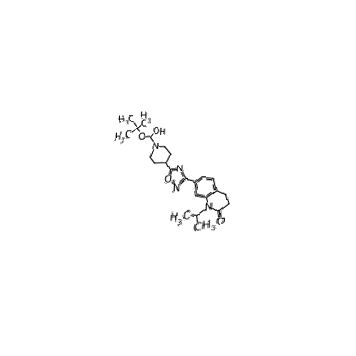 CC(C)N1C(=O)CCc2ccc(-c3noc(C4CCN(C(O)OC(C)(C)C)CC4)n3)cc21